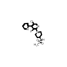 CS(=O)(=O)NC1CCN(c2ncc(Cl)c(-c3ccccn3)c2F)CC1